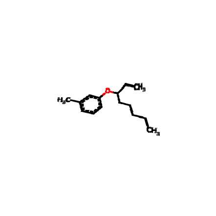 CCCCCC(CC)Oc1cccc(C)c1